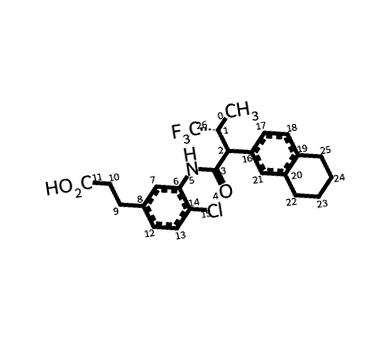 C[C@H](C(C(=O)Nc1cc(CCC(=O)O)ccc1Cl)c1ccc2c(c1)CCCC2)C(F)(F)F